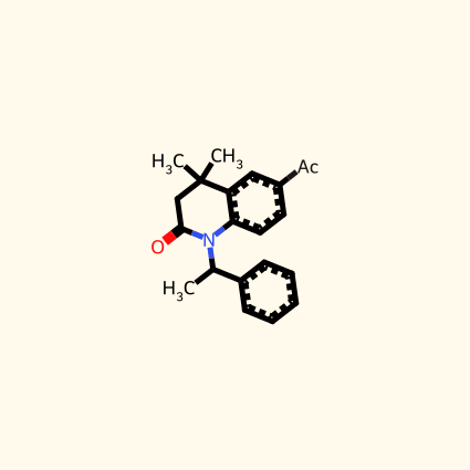 CC(=O)c1ccc2c(c1)C(C)(C)CC(=O)N2C(C)c1ccccc1